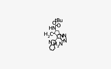 C=C1c2c(-c3cnc4ccccc4c3)c3c(N)ncnn3c2C[C@H]1NC(=O)OC(C)(C)C